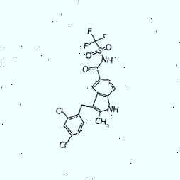 Cc1[nH]c2ccc(C(=O)NS(=O)(=O)C(F)(F)F)cc2c1Cc1ccc(Cl)cc1Cl